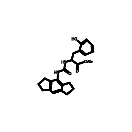 COC(=O)C(Cc1ccccc1O)NC(=O)Nc1c2c(cc3c1CCC3)CCC2